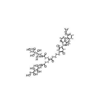 O=C(CCN(CCC(=O)NC[C@H](O)[C@@H](O)[C@H](O)[C@H](O)CO)C(=O)CCCCc1cc(Cl)c(CNC2(c3cnccc3-c3ccccc3OC3CC3)CC2)cc1Cl)NC[C@H](O)[C@@H](O)[C@H](O)[C@H](O)CO